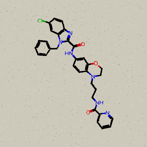 O=C(NCCCN1CCOc2cc(NC(=O)c3nc4ccc(Cl)cc4n3Cc3ccccc3)ccc21)c1ccccn1